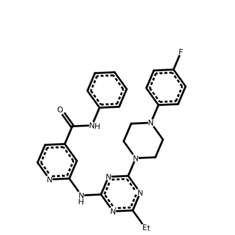 CCc1nc(Nc2cc(C(=O)Nc3ccccc3)ccn2)nc(N2CCN(c3ccc(F)cc3)CC2)n1